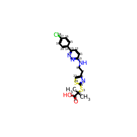 CC(C)(Sc1nc(CCNc2ccc(-c3ccc(Cl)cc3)nn2)cs1)C(=O)O